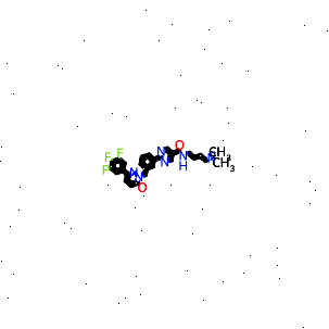 CN(C)CCCCNC(=O)c1cnc(-c2cccc(Cn3nc(-c4cc(F)c(F)c(F)c4)ccc3=O)c2)nc1